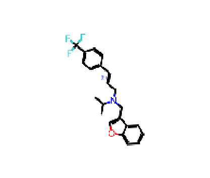 CC(C)N(C/C=C/c1ccc(C(F)(F)F)cc1)Cc1coc2ccccc12